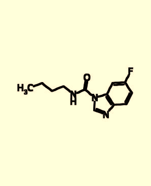 CCCCNC(=O)n1cnc2ccc(F)cc21